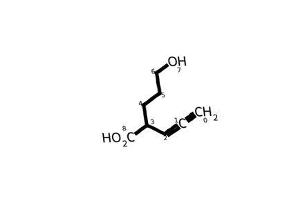 C=C=CC(CCCO)C(=O)O